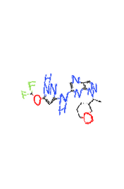 C[C@@H]([C@H]1CCCOC1)n1ncc2ncc(Nc3cc(OC(F)F)[nH]n3)nc21